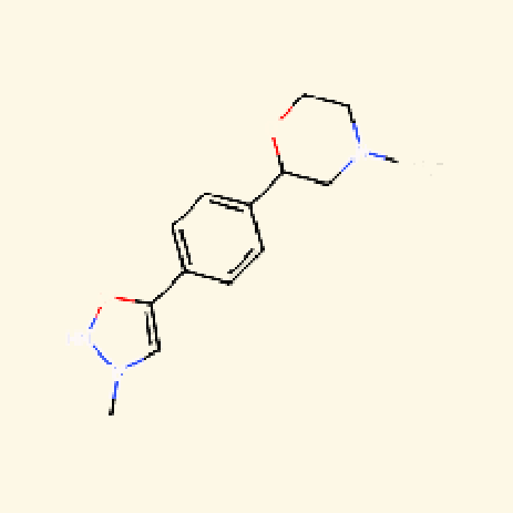 CN1C=C(c2ccc(C3CN(C(=O)O)CCO3)cc2)ON1